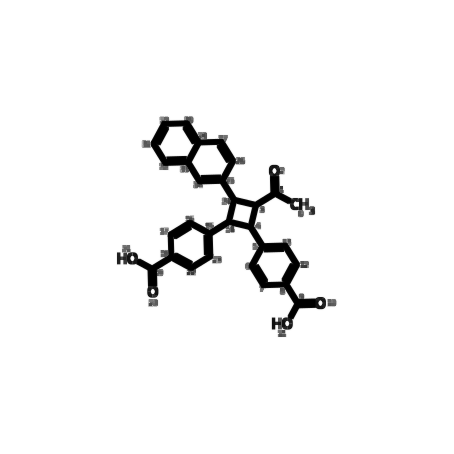 CC(=O)C1C(c2ccc(C(=O)O)cc2)C(c2ccc(C(=O)O)cc2)C1c1ccc2ccccc2c1